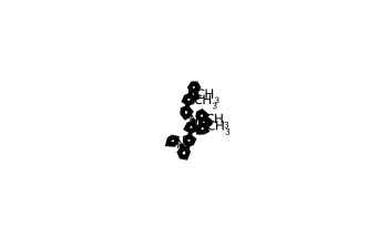 CC1(C)c2ccccc2-c2ccc(-c3cccc(N(c4ccc(-c5ccc6c7ccccc7n(-c7ccccc7)c6c5)cc4)c4cccc5c4-c4ccccc4C5(C)C)c3)cc21